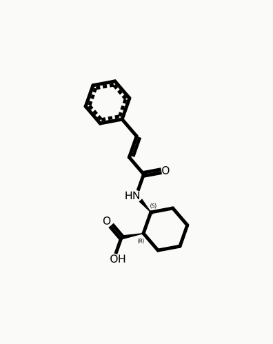 O=C(C=Cc1ccccc1)N[C@H]1CCCC[C@H]1C(=O)O